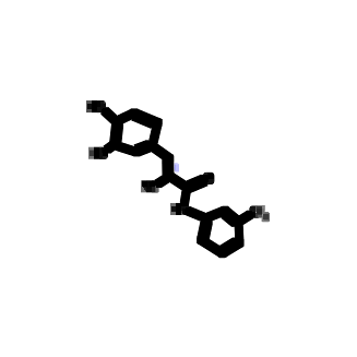 N#C/C(=C\c1ccc(O)c(O)c1)C(=O)Nc1cccc(C(F)(F)F)c1